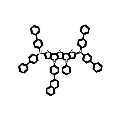 c1ccc(-c2ccc(N(c3ccc(-c4ccccc4)cc3)c3cc4c(s3)c3sc5c6sc(N(c7ccc(-c8ccccc8)cc7)c7ccc(-c8ccccc8)cc7)cc6n(-c6ccc(-c7ccc8ccccc8c7)cc6)c5c3n4-c3ccccc3)cc2)cc1